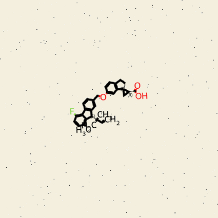 C=CC(C)(C)[C@H]1c2cc(COc3ccc4c(c3)[C@]3(CC4)C[C@H]3C(=O)O)ccc2-c2c(F)ccc(C)c21